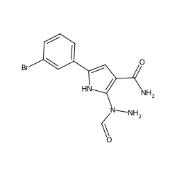 NC(=O)c1cc(-c2cccc(Br)c2)[nH]c1N(N)C=O